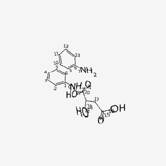 Nc1ccccc1.Nc1ccccc1.O=C(O)CC(O)C(=O)O